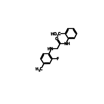 Cc1ccc(NCC(=O)Nc2ccccc2C(=O)O)c(F)c1